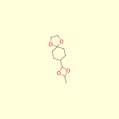 CC1OC(C2CCC3(CC2)OCCO3)O1